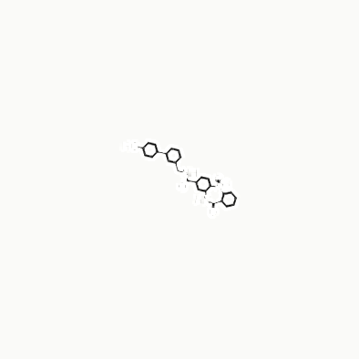 O=C(NCc1cccc(-c2ccc(O)cc2)c1)c1ccc2c(c1)NC(=O)c1ccccc1S2(=O)=O